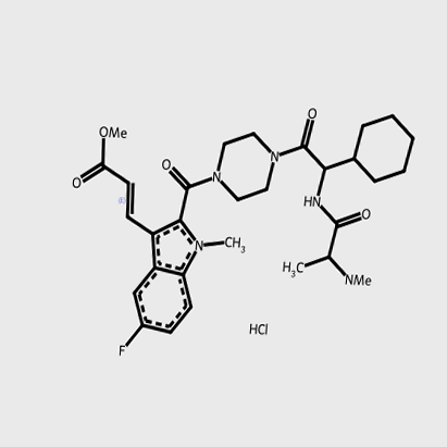 CNC(C)C(=O)NC(C(=O)N1CCN(C(=O)c2c(/C=C/C(=O)OC)c3cc(F)ccc3n2C)CC1)C1CCCCC1.Cl